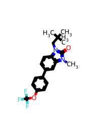 Cn1c(=O)n(CC(C)(C)C)c2ccc(-c3ccc(OC(F)(F)F)cc3)cc21